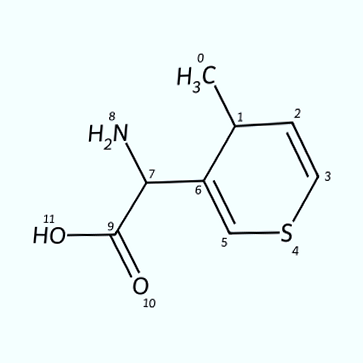 CC1C=CSC=C1C(N)C(=O)O